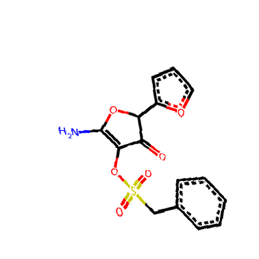 NC1=C(OS(=O)(=O)Cc2ccccc2)C(=O)C(c2ccco2)O1